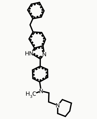 CN(CCN1CCCCC1)c1ccc(-c2nc3ccc(Cc4ccccc4)cc3[nH]2)cc1